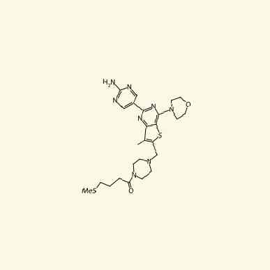 CSCCCC(=O)N1CCN(Cc2sc3c(N4CCOCC4)nc(-c4cnc(N)nc4)nc3c2C)CC1